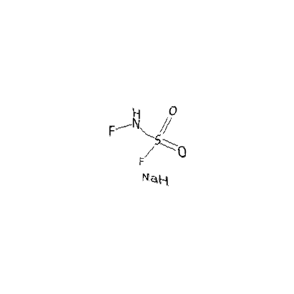 O=S(=O)(F)NF.[NaH]